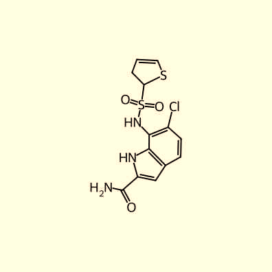 NC(=O)c1cc2ccc(Cl)c(NS(=O)(=O)C3CC=CS3)c2[nH]1